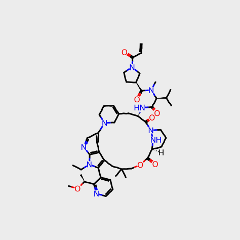 C=CC(=O)N1CC[C@H](C(=O)N(C)[C@H](C(=O)N[C@H]2CC3=CCCN(C3)c3cnc4c(c3)c(c(-c3cccnc3[C@H](C)OC)n4CC)CC(C)(C)COC(=O)[C@@H]3CCCN(N3)C2=O)C(C)C)C1